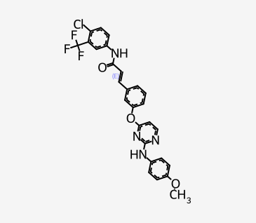 COc1ccc(Nc2nccc(Oc3cccc(/C=C/C(=O)Nc4ccc(Cl)c(C(F)(F)F)c4)c3)n2)cc1